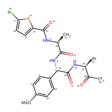 COc1ccc([C@H](NC(=O)[C@H](C)NC(=O)c2ccc(Br)s2)C(=O)N[C@H](C(=O)C(F)(F)F)C(C)C)cc1